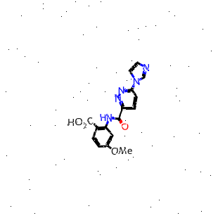 COc1ccc(C(=O)O)c(NC(=O)c2ccc(-n3ccnc3)nn2)c1